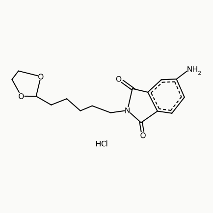 Cl.Nc1ccc2c(c1)C(=O)N(CCCCCC1OCCO1)C2=O